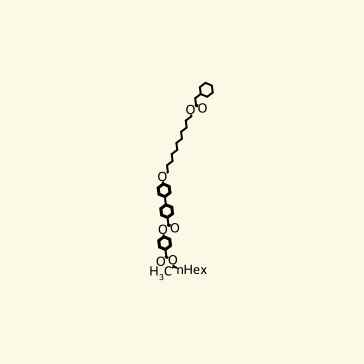 CCCCCCC(C)OC(=O)c1ccc(OC(=O)c2ccc(-c3ccc(OCCCCCCCCCCCOC(=O)CC4CCCCC4)cc3)cc2)cc1